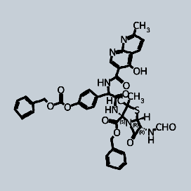 Cc1ccc2c(O)c(C(=O)NC(C(=O)N[C@@]3(C(=O)OCc4ccccc4)N4C(=O)[C@@H](NC=O)[C@H]4SC3(C)C)c3ccc(OC(=O)OCc4ccccc4)cc3)cnc2n1